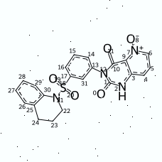 O=c1[nH]c2ccc[n+]([O-])c2c(=O)n1-c1cccc(S(=O)(=O)N2CCCc3ccccc32)c1